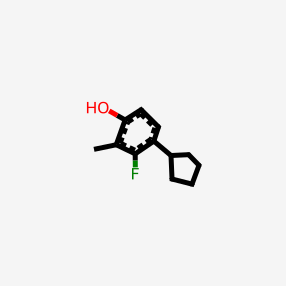 Cc1c(O)ccc(C2CCCC2)c1F